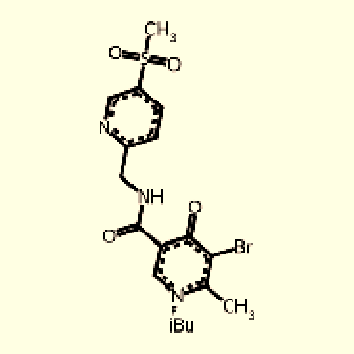 CC[C@@H](C)n1cc(C(=O)NCc2ccc(S(C)(=O)=O)cn2)c(=O)c(Br)c1C